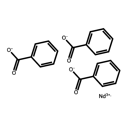 O=C([O-])c1ccccc1.O=C([O-])c1ccccc1.O=C([O-])c1ccccc1.[Nd+3]